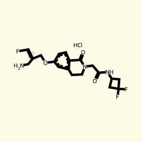 Cl.NC/C(=C\F)COc1ccc2c(c1)CCN(CC(=O)NC1CC(F)(F)C1)C2=O